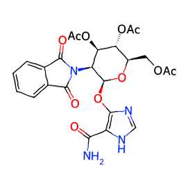 CC(=O)OC[C@H]1O[C@@H](Oc2nc[nH]c2C(N)=O)[C@@H](N2C(=O)c3ccccc3C2=O)[C@@H](OC(C)=O)[C@@H]1OC(C)=O